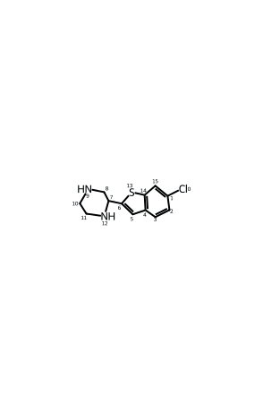 Clc1ccc2cc(C3CNCCN3)sc2c1